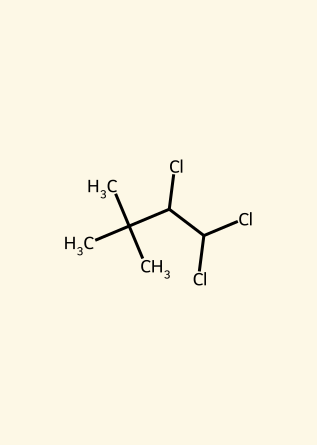 CC(C)(C)C(Cl)C(Cl)Cl